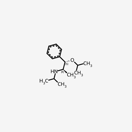 CC(C)N[C@H](C)[C@@H](OC(C)C)c1ccccc1